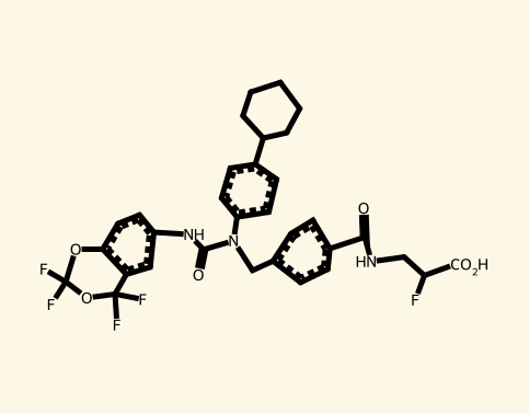 O=C(NCC(F)C(=O)O)c1ccc(CN(C(=O)Nc2ccc3c(c2)C(F)(F)OC(F)(F)O3)c2ccc(C3CCCCC3)cc2)cc1